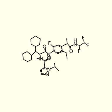 CCc1cc(NC(=O)C(NC(=O)c2ccnn2C(C)C)C(C2CCCCC2)C2CCCCC2)c(F)cc1C(C)C(=O)NC(F)C(F)F